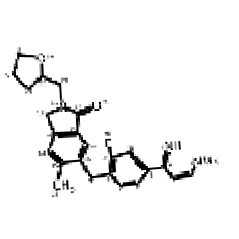 CN/C=C\C(=N)c1ccc(Cc2cc3c(cc2C)CN(CC2CCCO2)C3=O)c(F)c1